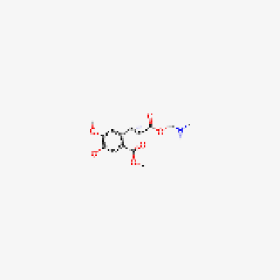 COC(=O)c1cc(OC)c(OC)cc1/C=C/C(=O)OCN(C)C